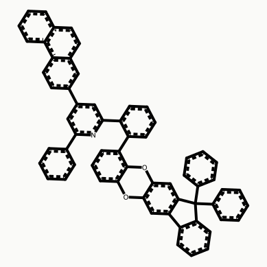 c1ccc(-c2cc(-c3ccc4c(ccc5ccccc54)c3)cc(-c3ccccc3-c3cccc4c3Oc3cc5c(cc3O4)-c3ccccc3C5(c3ccccc3)c3ccccc3)n2)cc1